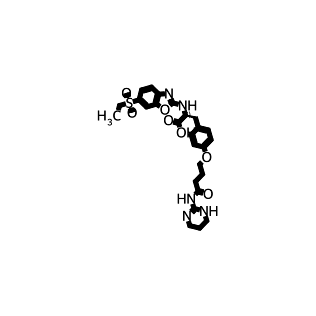 CCS(=O)(=O)c1ccc2nc(N[C@@H](Cc3ccc(OCCCC(=O)NC4=NCCCN4)cc3)C(=O)O)oc2c1